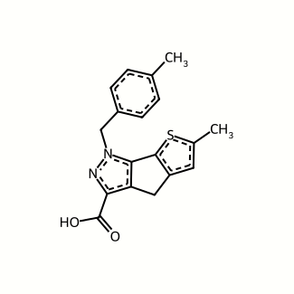 Cc1ccc(Cn2nc(C(=O)O)c3c2-c2sc(C)cc2C3)cc1